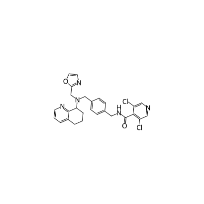 O=C(NCc1ccc(CN(Cc2ncco2)C2CCCc3cccnc32)cc1)c1c(Cl)cncc1Cl